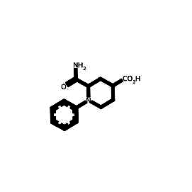 NC(=O)C1CC(C(=O)O)CCN1c1ccccc1